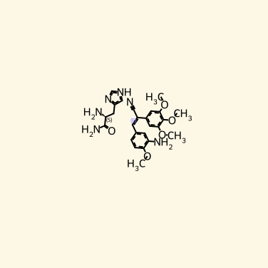 COc1ccc(/C=C(/C#N)c2cc(OC)c(OC)c(OC)c2)cc1N.NC(=O)[C@@H](N)Cc1c[nH]cn1